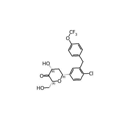 O=C1[C@H](O)C[C@H](c2ccc(Cl)c(Cc3ccc(OC(F)(F)F)cc3)c2)O[C@@H]1CO